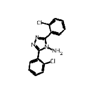 Nn1c(-c2ccccc2Cl)nnc1-c1ccccc1Cl